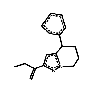 C=C(CC)c1cc2n(n1)CCCC2c1ccccc1